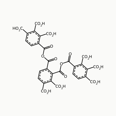 O=C(O)c1ccc(C(=O)OC(=O)c2ccc(C(=O)O)c(C(=O)O)c2C(=O)OC(=O)c2ccc(C(=O)O)c(C(=O)O)c2C(=O)O)c(C(=O)O)c1C(=O)O